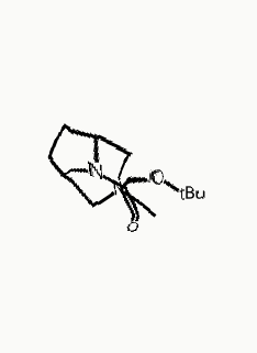 CN1CC2CCC(C1)N2C(=O)OC(C)(C)C